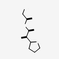 CCC(=O)OC(=O)C(=O)C1CCCN1